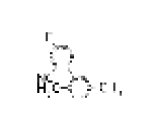 Cc1ccc(C)c(-c2ccc(F)cc2C#N)c1